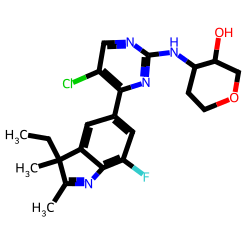 CCC1(C)C(C)=Nc2c(F)cc(-c3nc(NC4CCOCC4O)ncc3Cl)cc21